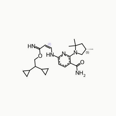 C[C@@H]1CN(c2nc(N/C=C\C(=N)OCC(C3CC3)C3CC3)ccc2C(N)=O)C(C)(C)C1